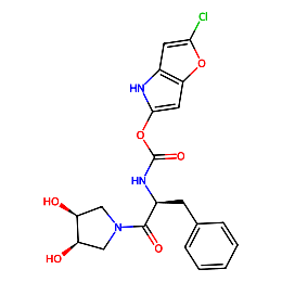 O=C(N[C@@H](Cc1ccccc1)C(=O)N1C[C@@H](O)[C@@H](O)C1)Oc1cc2oc(Cl)cc2[nH]1